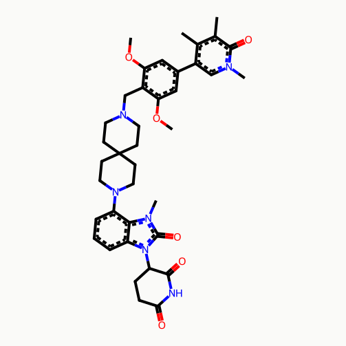 COc1cc(-c2cn(C)c(=O)c(C)c2C)cc(OC)c1CN1CCC2(CC1)CCN(c1cccc3c1n(C)c(=O)n3C1CCC(=O)NC1=O)CC2